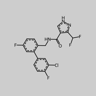 O=C(NCc1ccc(F)cc1-c1ccc(F)c(Cl)c1)c1c[nH]nc1C(F)F